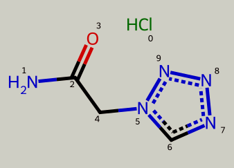 Cl.NC(=O)Cn1cnnn1